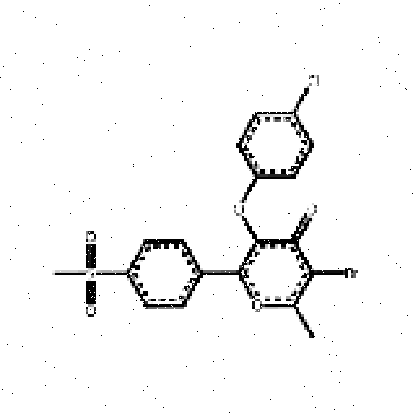 Cc1oc(-c2ccc(S(C)(=O)=O)cc2)c(Oc2ccc(Cl)cc2)c(=O)c1Br